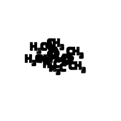 C=C(c1ccc(C(C)C)cc1/C=C\NC)c1cc(C)cc(C)c1C